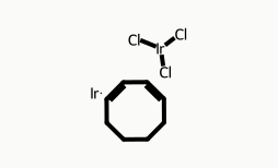 C1=CCCCCC=C1.[Cl][Ir]([Cl])[Cl].[Ir]